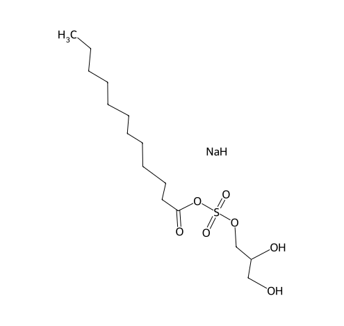 CCCCCCCCCCCC(=O)OS(=O)(=O)OCC(O)CO.[NaH]